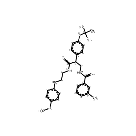 COc1ccc(NCCNC(=O)C(CNC(=O)c2cccc(C)c2)c2ccc(OC(C)(C)C)cc2)cc1